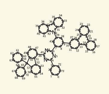 c1ccc(-c2nc(-c3cc(-c4ccc5c6ccccc6c6ccccc6c5c4)cc(-n4c5ccccc5c5ccccc54)c3)nc(-c3cccc4c3-c3ccccc3C4(c3ccccc3)c3ccccc3)n2)cc1